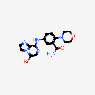 NC(=O)c1cc(Nc2ncc(Br)n3ccnc23)ccc1N1CCOCC1